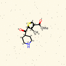 COC(=O)c1csc(C(=O)C2CCNCC2)c1C